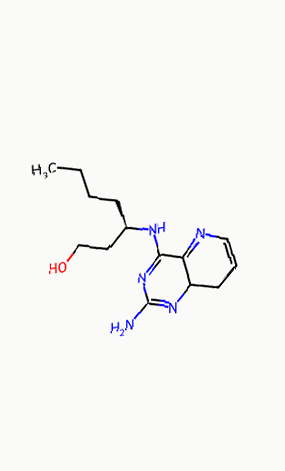 CCCC[C@H](CCO)NC1=NC(N)=NC2CC=CN=C12